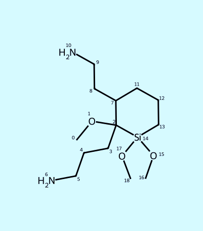 COC1(CCCN)C(CCN)CCC[Si]1(OC)OC